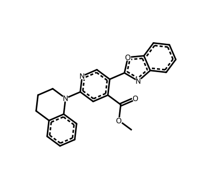 COC(=O)c1cc(N2CCCc3ccccc32)ncc1-c1nc2ccccc2o1